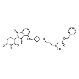 CN(CCCO[C@H]1C[C@H](Nc2cccc3c2C(=O)N(C2CCC(=O)NC2=O)C3=O)C1)CC(=O)OCc1ccccc1